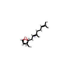 CC(C)=CCC/C(C)=C/Cc1occc1C